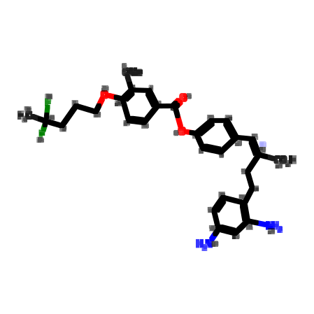 COc1cc(C(=O)Oc2ccc(/C=C(\CCc3ccc(N)cc3N)C(=O)O)cc2)ccc1OCCCC(F)(F)C(F)(F)F